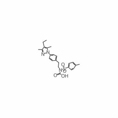 CCc1c(C)nn(-c2ccc(CCN(C(=O)O)S(=O)(=O)c3ccc(C)cc3)cc2)c1C